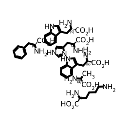 C[C@H](N)C(=O)O.NCCCC[C@H](N)C(=O)O.N[C@@H](Cc1c[nH]c2ccccc12)C(=O)O.N[C@@H](Cc1c[nH]cn1)C(=O)O.N[C@H](Cc1c[nH]c2ccccc12)C(=O)O.N[C@H](Cc1ccccc1)C(=O)O